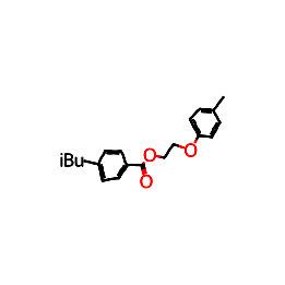 CCC(C)c1ccc(C(=O)OCCOc2ccc(C)cc2)cc1